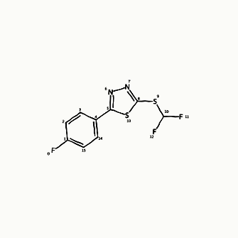 Fc1ccc(-c2nnc(SC(F)F)s2)cc1